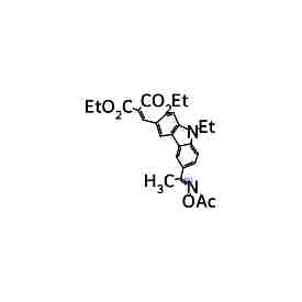 CCOC(=O)C(=Cc1ccc2c(c1)c1cc(/C(C)=N/OC(C)=O)ccc1n2CC)C(=O)OCC